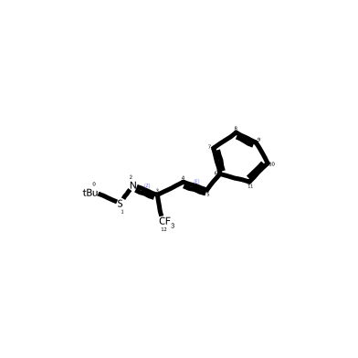 CC(C)(C)S/N=C(/C=C/c1ccccc1)C(F)(F)F